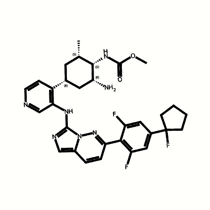 COC(=O)N[C@@H]1[C@H](N)C[C@H](c2ccncc2Nc2ncc3ccc(-c4c(F)cc(C5(F)CCCC5)cc4F)nn23)C[C@@H]1C